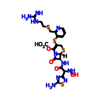 N=C(N)NCCSCc1ncccc1SC1=C(OC(=O)O)N2C(=O)[C@@H](NC(=O)C(NO)c3nsc(N)n3)[C@@H]2SC1